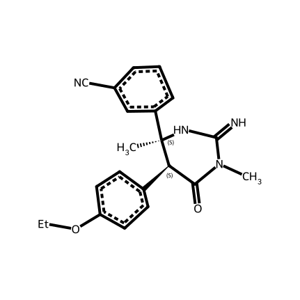 CCOc1ccc([C@@H]2C(=O)N(C)C(=N)N[C@]2(C)c2cccc(C#N)c2)cc1